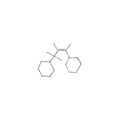 CC(=C(C)C(C)(C)C1CCCCC1)C1CCCCC1